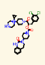 O=C(O[C@H](Cc1ccc(Cl)c(Cl)c1)C(=O)N1CCC([N+]2(C3CC3)CCNCC2)CC1)N1CCC(N2CCc3ccccc3NC2=O)CC1